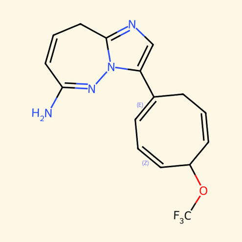 NC1=Nn2c(/C3=C/C=C\C(OC(F)(F)F)C=CC3)cnc2CC=C1